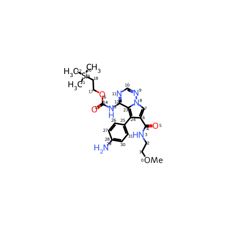 COCCNC(=O)c1cn2ncnc(NC(=O)OCC[Si](C)(C)C)c2c1-c1ccc(N)cc1